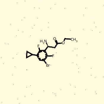 CCOC(=O)C[C@H](N)c1c(F)c(Br)cc(C2CC2)c1F